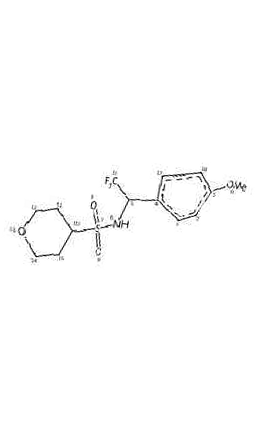 COc1ccc(C(NS(=O)(=O)C2CCOCC2)C(F)(F)F)cc1